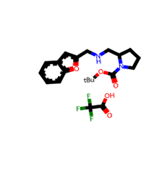 CC(C)(C)OC(=O)N1CCCC1CNCc1cc2ccccc2o1.O=C(O)C(F)(F)F